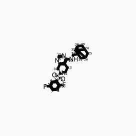 O=S(=O)(c1cc(F)ccc1F)N1CCc2c(ncnc2NCC23CC4CC(CC(C4)C2)C3)C1